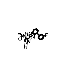 CCC(=O)Nc1c[nH]nc1-c1nc2c(-c3cccc(F)c3)cccc2[nH]1